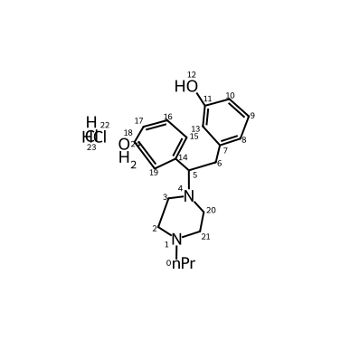 CCCN1CCN(C(Cc2cccc(O)c2)c2ccccc2)CC1.Cl.Cl.O